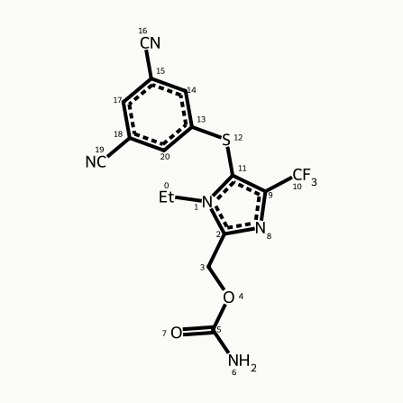 CCn1c(COC(N)=O)nc(C(F)(F)F)c1Sc1cc(C#N)cc(C#N)c1